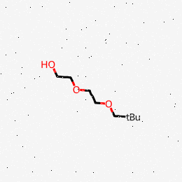 CC(C)(C)COCCOCCO